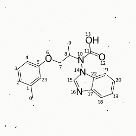 Cc1cccc(OCC(C)N(C(=O)O)n2cnc3ccccc32)c1